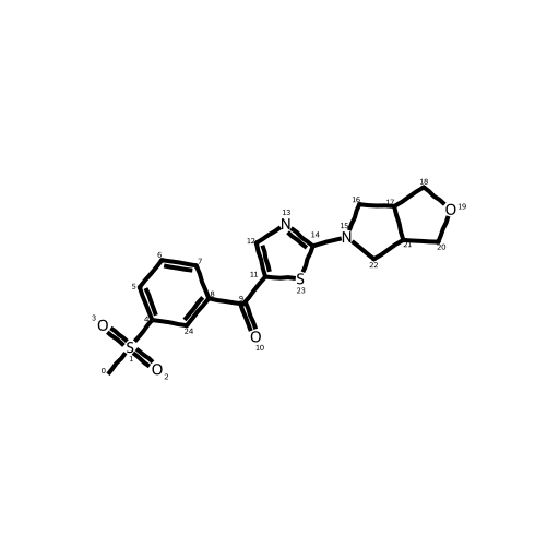 CS(=O)(=O)c1cccc(C(=O)c2cnc(N3CC4COCC4C3)s2)c1